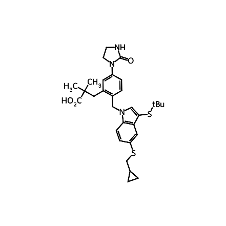 CC(C)(C)Sc1cn(Cc2ccc(N3CCNC3=O)cc2CC(C)(C)C(=O)O)c2ccc(SCC3CC3)cc12